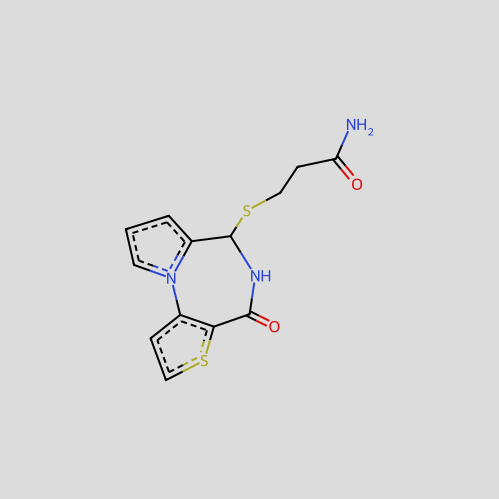 NC(=O)CCSC1NC(=O)c2sccc2-n2cccc21